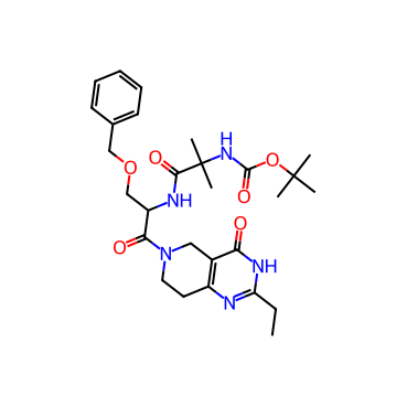 CCc1nc2c(c(=O)[nH]1)CN(C(=O)C(COCc1ccccc1)NC(=O)C(C)(C)NC(=O)OC(C)(C)C)CC2